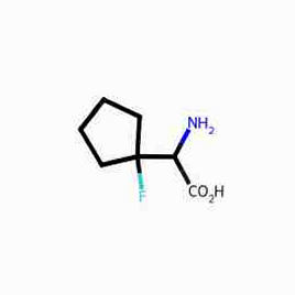 NC(C(=O)O)C1(F)CCCC1